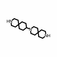 C1CC2(CCN1)CCC(N1CCC3(CCNCC3)CC1)CC2